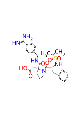 CC(C)S(=O)(=O)N[C@H](Cc1ccccc1)C(=O)N1CCC[C@@]1(CC(=O)O)C(=O)NCc1ccc(C(=N)N)cc1